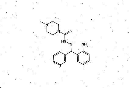 CN1CCN(C(=S)N/N=C(\c2ccnnc2)c2ccccc2N)CC1